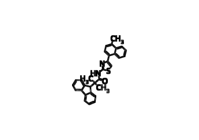 Cc1ccc(-c2csc(NC(=O)C(C)(C)C3c4ccccc4-c4ccccc43)n2)c2ccccc12